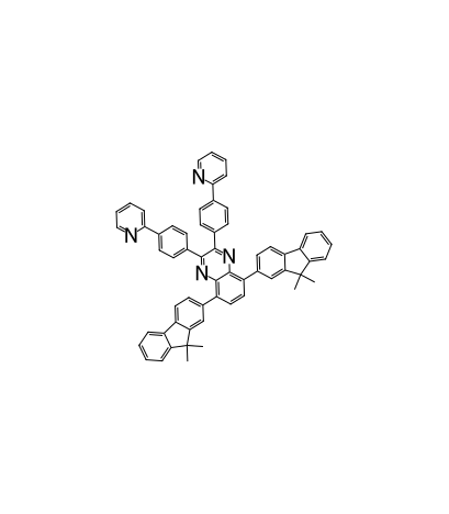 CC1(C)c2ccccc2-c2ccc(-c3ccc(-c4ccc5c(c4)C(C)(C)c4ccccc4-5)c4nc(-c5ccc(-c6ccccn6)cc5)c(-c5ccc(-c6ccccn6)cc5)nc34)cc21